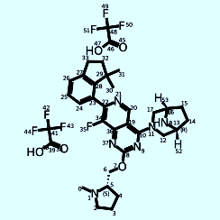 CN1CCC[C@H]1COc1nc(N2C[C@H]3CC[C@@H](C2)N3)c2cnc(-c3cccc4c3C(C)(C)CC4)c(F)c2n1.O=C(O)C(F)(F)F.O=C(O)C(F)(F)F